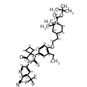 CCc1cc(N2C(=S)N(c3cnc(C#N)c(C(F)(F)F)c3)C(=O)C23CCC3)ccc1OCCC1CCN(C(=O)OC(C)(C)C)C(C)(C)C1